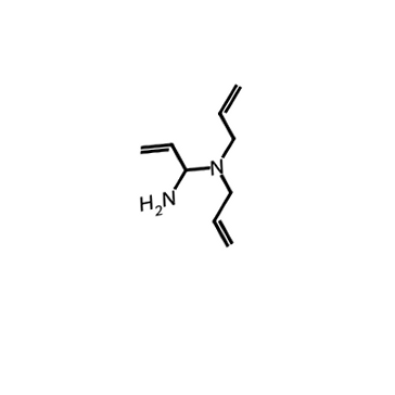 C=CCN(CC=C)C(N)C=C